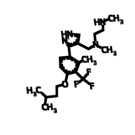 CNCCN(C)Cc1c[nH]nc1-c1ccc(OCCC(C)C)c(C(F)(F)F)c1C